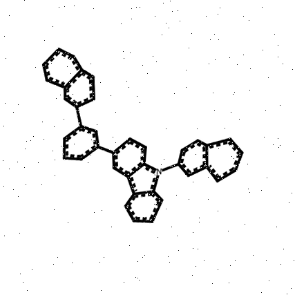 c1cc(-c2ccc3ccccc3c2)cc(-c2ccc3c(c2)c2ccccc2n3-c2ccc3ccccc3c2)c1